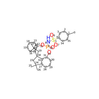 Cc1ccc(S(=O)(=O)NP2(=O)Oc3cccc4c3C3(CC4(C)C)CC(C)(C)c4cccc(c43)O2)cc1